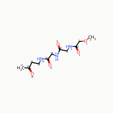 COCC(=O)NCC(=O)NCC(=O)NCCC(C)=O